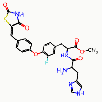 COC(=O)C(Cc1ccc(Oc2ccc(C=C3SC(=O)NC3=O)cc2)c(F)c1)NC(=O)C(N)Cc1c[nH]cn1